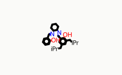 CC(C)Cc1cc(C=N[C@@H]2CCCC[C@H]2N=Cc2ccccc2O)c(O)c(CC(C)C)c1